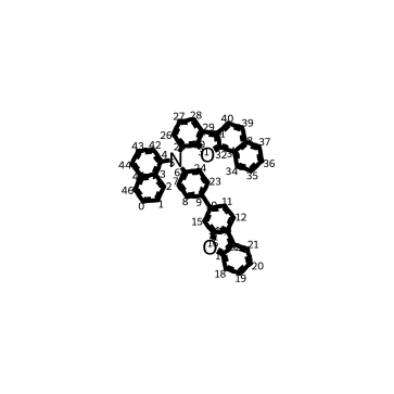 c1ccc2c(N(c3ccc(-c4ccc5c(c4)oc4ccccc45)cc3)c3cccc4c3oc3c5ccccc5ccc43)cccc2c1